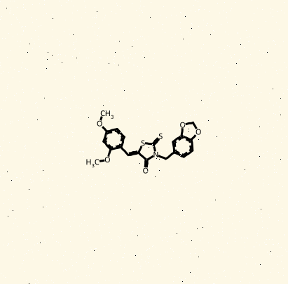 COc1ccc(C=C2SC(=S)N(Cc3ccc4c(c3)OCO4)C2=O)c(OC)c1